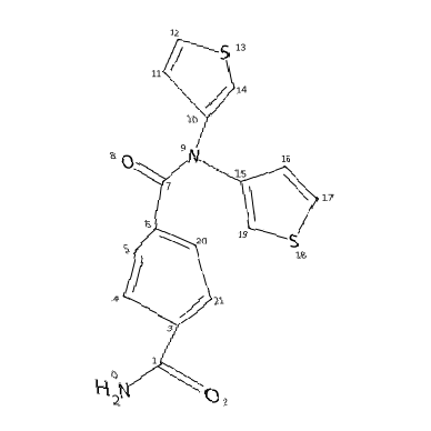 NC(=O)c1ccc(C(=O)N(c2ccsc2)c2ccsc2)cc1